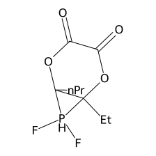 CCCC12OC(=O)C(=O)OC1(CC)[PH]2(F)F